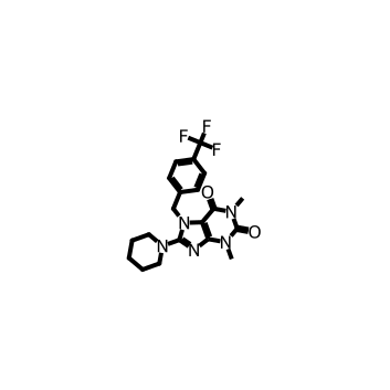 Cn1c(=O)c2c(nc(N3CCCCC3)n2Cc2ccc(C(F)(F)F)cc2)n(C)c1=O